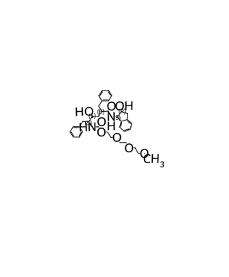 COCCOCCOCCOC(=O)N[C@@H](Cc1ccccc1)[C@@H](O)C[C@@H](Cc1ccccc1)C(=O)N[C@H]1c2ccccc2C[C@H]1O